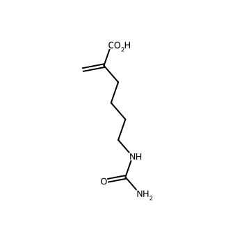 C=C(CCCCNC(N)=O)C(=O)O